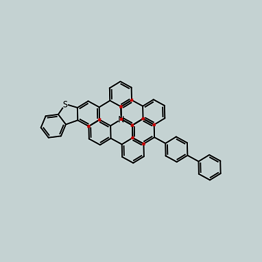 c1ccc(-c2ccc(-c3ccc(N(c4ccccc4-c4ccc5c(c4)sc4ccccc45)c4ccccc4-c4ccccc4-c4cccc5ccccc45)cc3)cc2)cc1